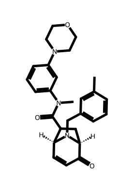 Cc1cccc(CN2[C@H]3CC(C(=O)N(C)c4cccc(N5CCOCC5)c4)[C@@H]2C=CC3=O)c1